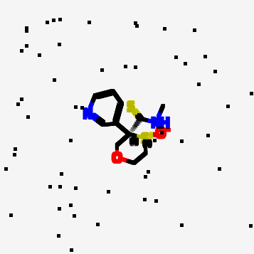 CNC(=S)[C@@]1(c2cccnc2)COCC[S@+]1[O-]